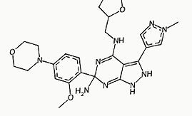 COc1cc(N2CCOCC2)ccc1C1(N)N=C(NCC2CCCO2)C2=C(c3cnn(C)c3)NNC2=N1